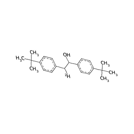 [2H]C(c1ccc(C(C)(C)C)cc1)C(O)c1ccc(C(C)(C)C)cc1